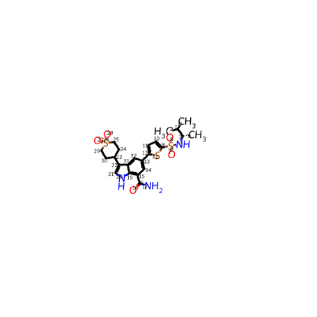 CC(C)[C@H](C)NS(=O)(=O)c1ccc(-c2cc(C(N)=O)c3[nH]cc(C4CCS(=O)(=O)CC4)c3c2)s1